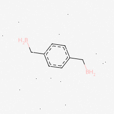 BCc1ccc(CB)cc1